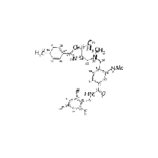 CNc1cc(C(=O)NCc2c(F)cc(F)cc2F)ccc1CN(C)Cc1nc(C2=CCC(C)C=C2)oc1C